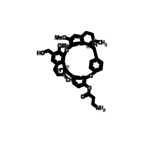 COc1cc2c3cc1Oc1c(OC)c(CO)cc4c1[C@@H](Cc1ccc(OC(=O)CCN)c(c1)Oc1ccc(cc1)C[C@@H]3N(C)CC2)N(C)CC4